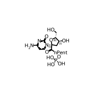 CCCCCC(=O)[C@]1(n2ccc(N)nc2=O)C[C@H](O)[C@@H](CO)O1.O=P(O)(O)O